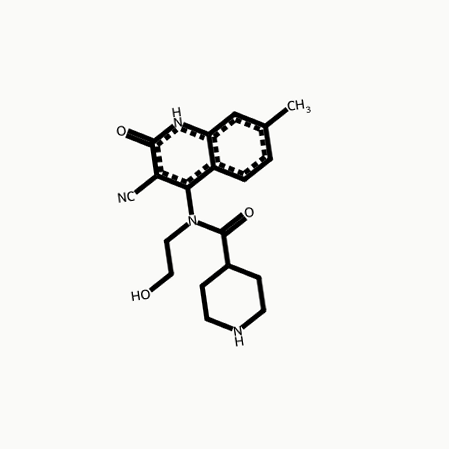 Cc1ccc2c(N(CCO)C(=O)C3CCNCC3)c(C#N)c(=O)[nH]c2c1